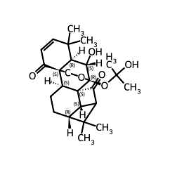 CC(C)(O)O[C@@]12OC[C@]3(C(=O)C=CC(C)(C)[C@H]3[C@@H]1O)[C@@H]1CC[C@@H]3[C@H]4C(C(=O)[C@]412)C3(C)C